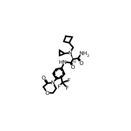 NC(=O)[C@@H](C(=O)Nc1ccc(N2CCOCC2=O)c(C(F)(F)F)c1)N(CC1CCC1)C1CC1